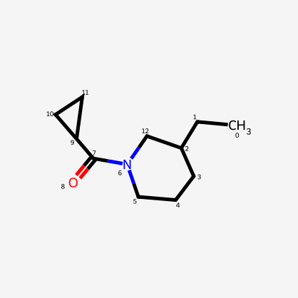 CCC1CCCN(C(=O)C2CC2)C1